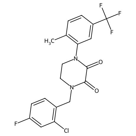 Cc1ccc(C(F)(F)F)cc1N1CCN(Cc2ccc(F)cc2Cl)C(=O)C1=O